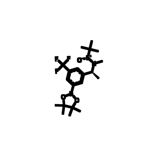 C[C@H](c1cc(B2OC(C)(C)C(C)(C)O2)cc(C(F)(F)F)c1)N(C)[S@@+]([O-])C(C)(C)C